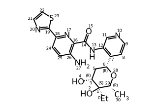 CC[C@]1(O)[C@H](O)C[C@H](c2ccncc2NC(=O)c2nc(-c3nccs3)ccc2N)O[C@@H]1C